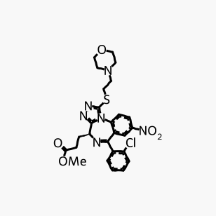 COC(=O)CC[C@@H]1N=C(c2ccccc2Cl)c2cc([N+](=O)[O-])ccc2-n2c(SCCN3CCOCC3)nnc21